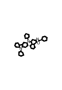 c1ccc(-c2nc3cc(N(c4ccccc4)c4ccc5c(c4)c4ccccc4n5-c4ccccc4)c4ccccc4c3o2)cc1